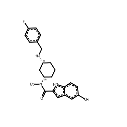 CCN(C(=O)c1cc2cc(C#N)ccc2[nH]1)[C@H]1CCC[C@@H](NCc2ccc(F)cc2)C1